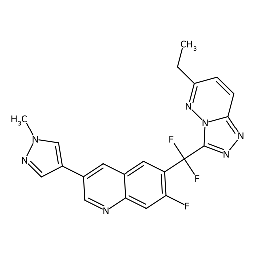 CCc1ccc2nnc(C(F)(F)c3cc4cc(-c5cnn(C)c5)cnc4cc3F)n2n1